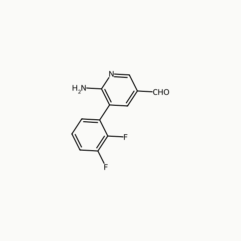 Nc1ncc(C=O)cc1-c1cccc(F)c1F